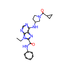 CCn1c(C(=O)Nc2ccccc2)nc2c(NC3CCN(C(=O)C4CC4)C3)ncnc21